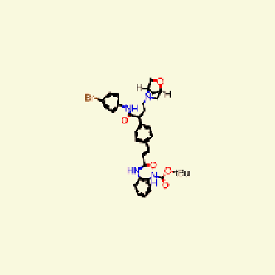 CC(C)(C)OC(=O)Nc1ccccc1NC(=O)/C=C/c1ccc(C(CCN2C[C@@H]3C[C@H]2CO3)C(=O)Nc2ccc(Br)cc2)cc1